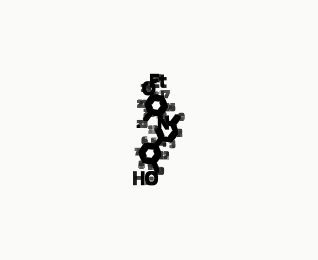 C=C1C=CC(c2cccc(CO)c2)=CN1c1ccc(OCC)cc1C